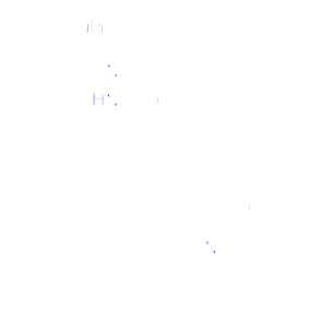 C=C1C=CC(=O)N1CCCCCC(=O)N/N=C(\C)C(C)C